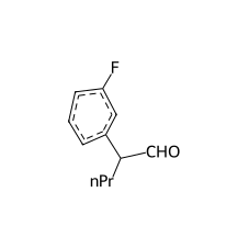 CCCC(C=O)c1cccc(F)c1